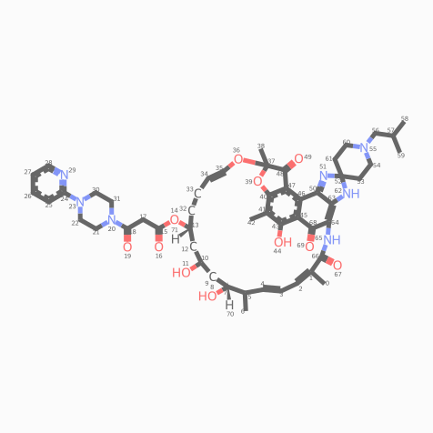 C/C1=C/C=C/C(C)[C@H](O)CC(O)C[C@H](OC(=O)CC(=O)N2CCN(c3ccccn3)CC2)CC/C=C/OC2(C)Oc3c(C)c(O)c4c(c3C2=O)C2=NC3(CCN(CC(C)C)CC3)NC2=C(NC1=O)C4=O